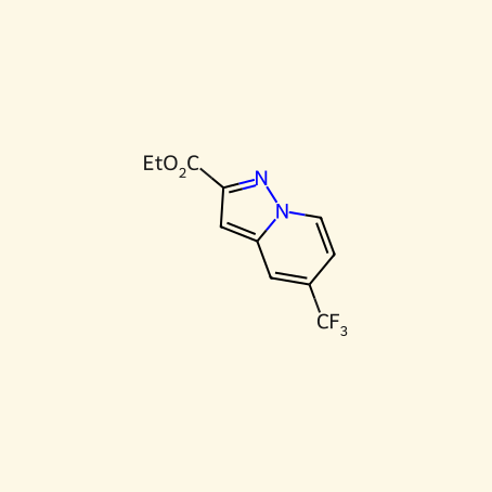 CCOC(=O)c1cc2cc(C(F)(F)F)ccn2n1